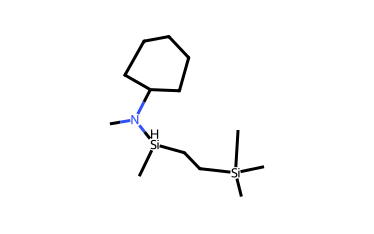 CN(C1CCCCC1)[SiH](C)CC[Si](C)(C)C